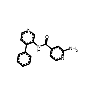 Nc1cc(C(=O)Nc2cnccc2-c2ccccc2)ccn1